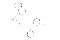 COC(=O)c1cc(C2CC(CCN[C@H](C)c3cccc4ccccc34)Oc3ccccc32)ccc1F